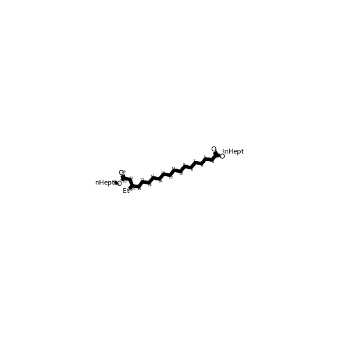 CCCCCCCOC(=O)CCCCCCCCCCCCCCCC(CC)CC(=O)OCCCCCCC